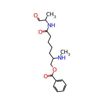 CNC(CCCCC(=O)NC(C)C=O)COC(=O)c1ccccc1